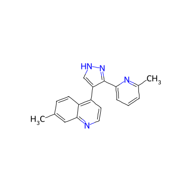 Cc1ccc2c(-c3c[nH]nc3-c3cccc(C)n3)ccnc2c1